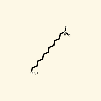 O=C(O)CCCCCCCCCCC[SiH](Cl)Cl